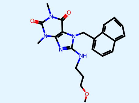 COCCCNc1nc2c(c(=O)n(C)c(=O)n2C)n1Cc1cccc2ccccc12